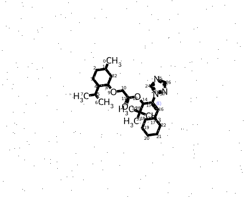 CC1CCC(C(C)C)C(OCC(=O)OC(/C(=C\C2CCCCC2)n2cncn2)C(C)(C)C)C1